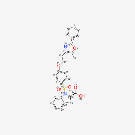 Cc1oc(-c2ccccc2)nc1CCOc1ccc(S(=O)(=O)N2c3ccccc3C[C@@H]2C(=O)O)cc1